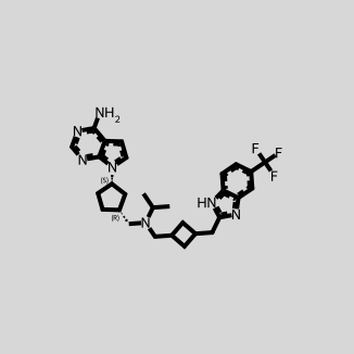 CC(C)N(CC1CC(Cc2nc3cc(C(F)(F)F)ccc3[nH]2)C1)C[C@@H]1CC[C@H](n2ccc3c(N)ncnc32)C1